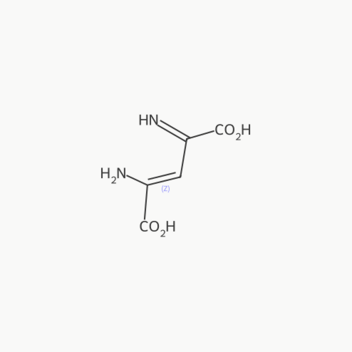 N=C(/C=C(\N)C(=O)O)C(=O)O